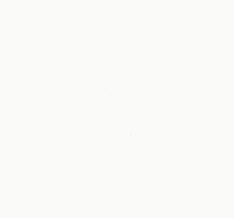 CCC(SC)C(C)(C)C